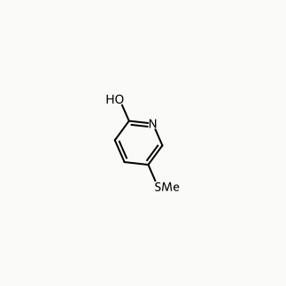 CSc1ccc(O)nc1